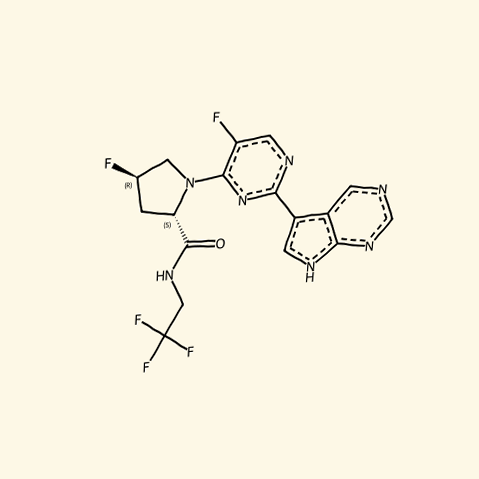 O=C(NCC(F)(F)F)[C@@H]1C[C@@H](F)CN1c1nc(-c2c[nH]c3ncncc23)ncc1F